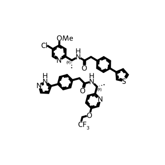 COc1cc([C@@H](C)NC(=O)Cc2ccc(-c3ccsc3)cc2)ncc1Cl.C[C@@H](NC(=O)Cc1ccc(-c2ccn[nH]2)cc1)c1ccc(OCC(F)(F)F)cn1